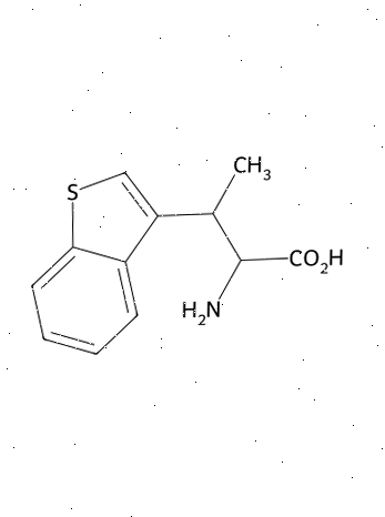 CC(c1csc2ccccc12)C(N)C(=O)O